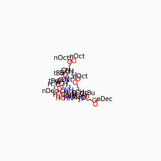 CCCCCCCCCCCC(=O)OCCCC(CN(CCCCNC(=O)CC(C)(O)CC(=O)NCCCCN(CC(CCCCCOC(=O)C(CCCCCCCC)CCCCCCCC)O[Si](C)(C)C(C)(C)C)CC(CCCCOC(=O)CCCCCCCCCC)O[Si](C)(C)C(C)(C)C)CC(CCCCCOC(=O)C(CCCCCCCC)CCCCCCCC)O[Si](C)(C)C(C)(C)C)O[Si](C)(C)C(C)(C)C